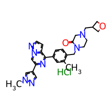 Cc1cc(-c2nc(-c3cnn(C)c3)cn3nccc23)ccc1CN1CCN(CC2COC2)CC1=O.Cl